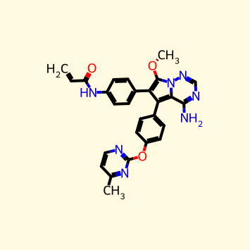 C=CC(=O)Nc1ccc(-c2c(-c3ccc(Oc4nccc(C)n4)cc3)c3c(N)ncnn3c2OC)cc1